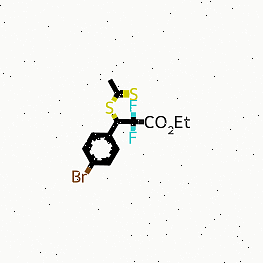 CCOC(=O)C(F)(F)C(SC(C)=S)c1ccc(Br)cc1